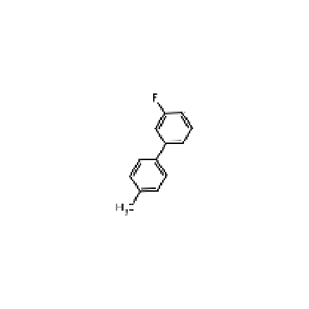 Cc1ccc(-c2cc[c]c(F)c2)cc1